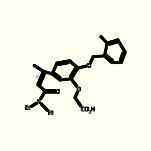 CCN(CC)C(=O)/C=C(/C)c1ccc(OCc2ccccc2C)c(OCC(=O)O)c1